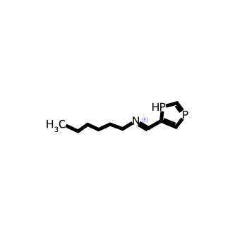 CCCCCC/N=C/c1cpc[pH]1